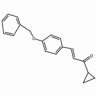 O=C(/C=C/c1ccc(OCc2ccccc2)cc1)C1CC1